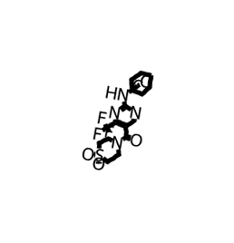 O=C(c1cnc(NC23CCC(CC2)CC3)nc1C(F)(F)F)N1CCS(=O)(=O)CC1